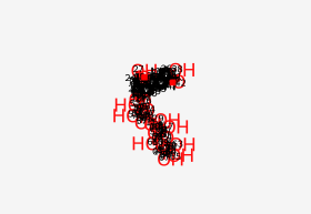 C[C@@H]1O[C@@H](O[C@H]2[C@H](O)[C@@H](O)[C@H](OC[C@H]3O[C@@H](OC(=O)[C@]45CC[C@@H]([C@H](C)C(=O)O)[C@@H]4[C@H]4CC[C@@H]6[C@@]7(C)CC[C@@H](O)[C@@](C)(C=O)[C@@H]7CC[C@@]6(C)[C@]4(C)CC5)[C@H](O)[C@@H](O)[C@@H]3O)O[C@@H]2CO)[C@H](O)[C@H](O)[C@H]1O